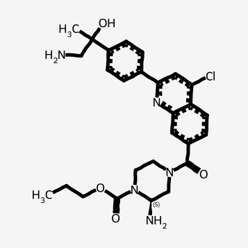 CCCOC(=O)N1CCN(C(=O)c2ccc3c(Cl)cc(-c4ccc(C(C)(O)CN)cc4)nc3c2)C[C@H]1N